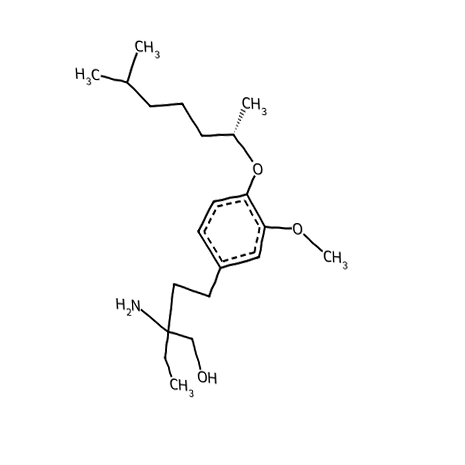 CCC(N)(CO)CCc1ccc(O[C@@H](C)CCCC(C)C)c(OC)c1